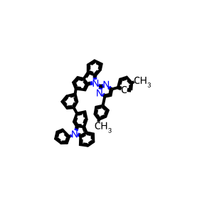 Cc1ccc(-c2cc(-c3ccc(C)cc3)nc(-n3c4ccccc4c4ccc(-c5cccc(-c6ccc7c8ccccc8n(-c8ccccc8)c7c6)c5)cc43)n2)cc1